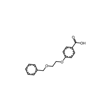 O=C(O)c1ccc(OCCOCc2ccccc2)cc1